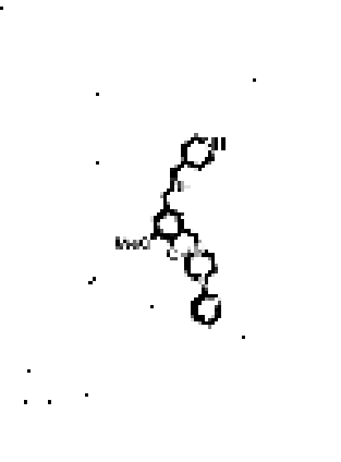 COc1cc(CNCC2CCNCC2)cc(CN2CCN(c3ccccn3)CC2)c1O